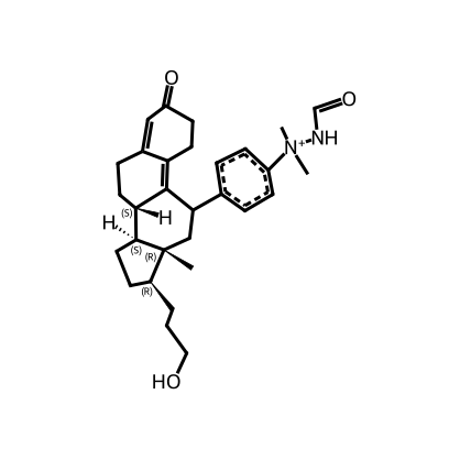 C[C@]12CC(c3ccc([N+](C)(C)NC=O)cc3)C3=C4CCC(=O)C=C4CC[C@H]3[C@@H]1CC[C@@H]2CCCO